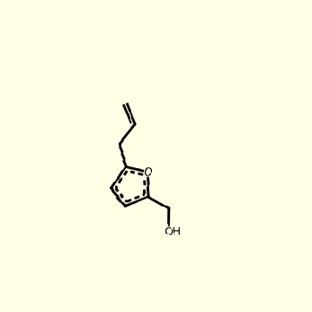 C=CCc1ccc(CO)o1